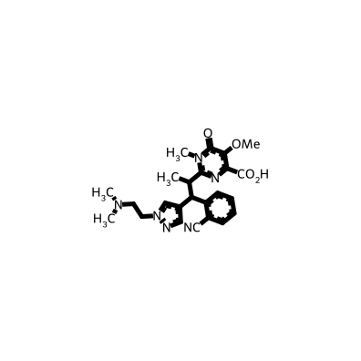 COc1c(C(=O)O)nc(C(C)C(c2cnn(CCN(C)C)c2)c2ccccc2C#N)n(C)c1=O